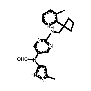 Cc1cc(N(C=O)c2cnc(NCC3(c4ncccc4F)CCC3)nc2)[nH]n1